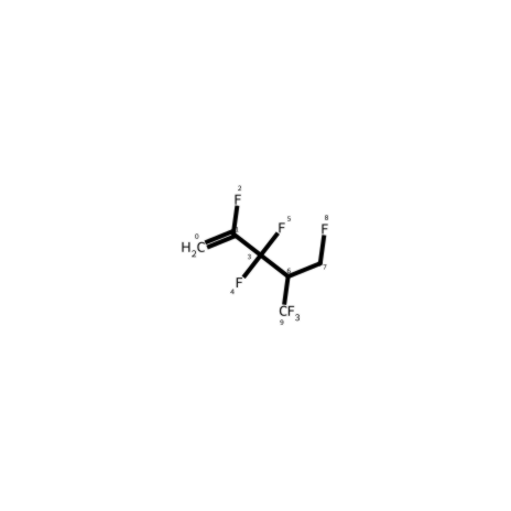 C=C(F)C(F)(F)C(CF)C(F)(F)F